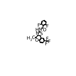 C=C1Oc2ccc(C(F)(F)F)cc2C2SC(NC(=O)c3c(F)cccc3F)=NC12